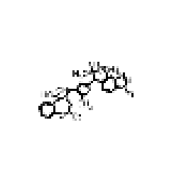 CCC1CN(Cc2cc(C(c3ccc4c(nnn4CC)c3C)C(C)(C)C(=O)O)sc2C)S(O)(O)c2ccccc2O1